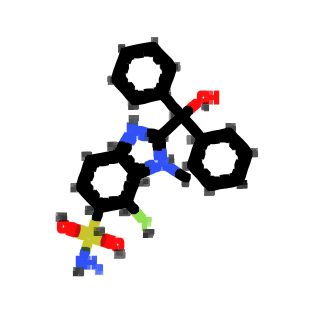 Cn1c(C(O)(c2ccccc2)c2ccccc2)nc2ccc(S(N)(=O)=O)c(F)c21